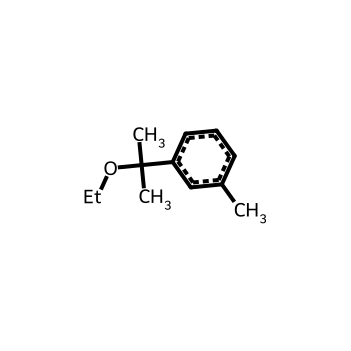 CCOC(C)(C)c1cccc(C)c1